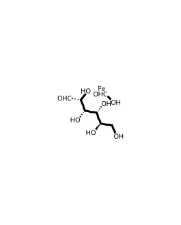 O=CO.O=C[C@H](O)[C@@H](O)[C@H](O)[C@H](O)CO.[Fe]